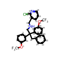 FC(F)(F)Oc1cccc(C(CNCc2cccnc2Cl)(Cc2ccccc2)c2cccc(OC(F)(F)F)c2)c1